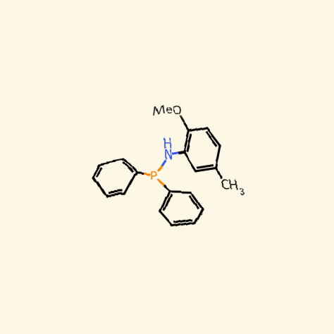 COc1ccc(C)cc1NP(c1ccccc1)c1ccccc1